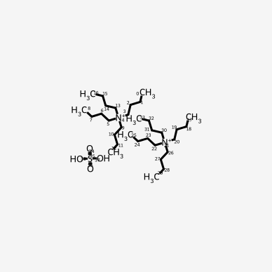 CCCC[N+](CCCC)(CCCC)CCCC.CCCC[N+](CCCC)(CCCC)CCCC.O=S(=O)(O)O